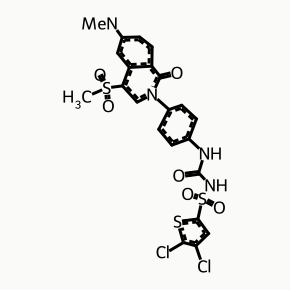 CNc1ccc2c(=O)n(-c3ccc(NC(=O)NS(=O)(=O)c4cc(Cl)c(Cl)s4)cc3)cc(S(C)(=O)=O)c2c1